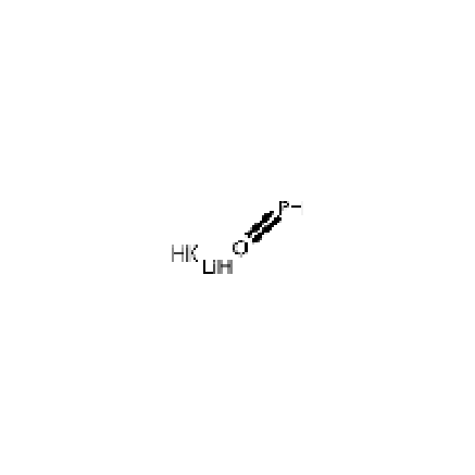 O=P.[KH].[LiH]